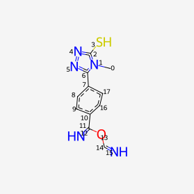 Cn1c(S)nnc1-c1ccc(C(=N)OC=N)cc1